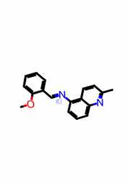 COc1ccccc1/C=N/c1cccc2nc(C)ccc12